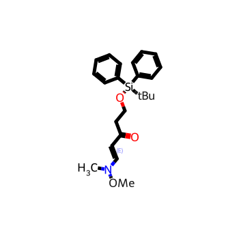 CON(C)/C=C/C(=O)CCO[Si](c1ccccc1)(c1ccccc1)C(C)(C)C